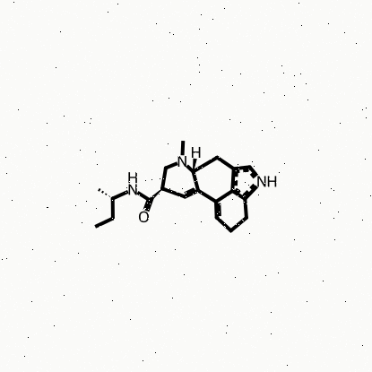 CC[C@H](C)NC(=O)[C@@H]1C=C2C3=CCCc4[nH]cc(c43)C[C@H]2N(C)C1